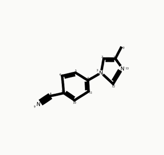 Cc1cn(-c2ccc(C#N)cc2)cn1